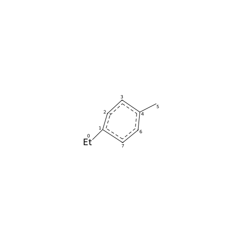 CCc1[c]cc(C)cc1